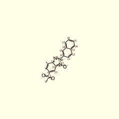 CS(=O)(=O)c1ccc2nn(-c3ccc4ccccc4c3)[n+]([O-])c2c1